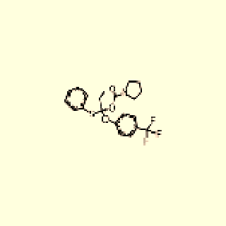 CC[C@@](OC(=O)N1CCCC1)(Oc1ccc(C(F)(F)F)cc1)Sc1ccccc1